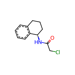 O=C(CCl)N[C@@H]1CCCc2ccccc21